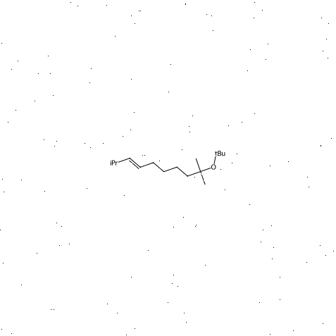 CC(C)/C=C/CCCCC(C)(C)OC(C)(C)C